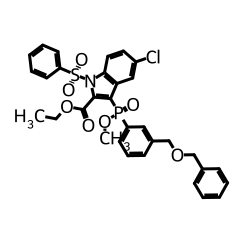 CCOC(=O)c1c(P(=O)(OC)c2cccc(COCc3ccccc3)c2)c2cc(Cl)ccc2n1S(=O)(=O)c1ccccc1